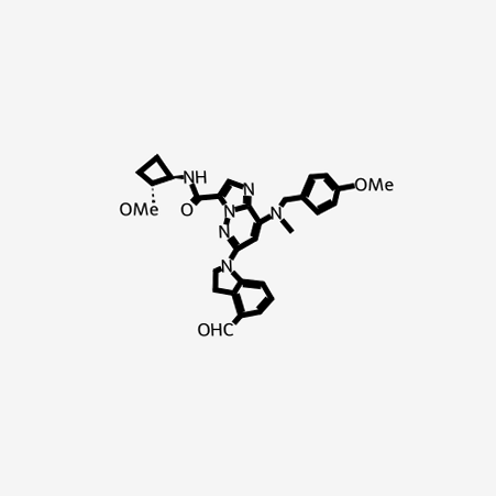 COc1ccc(CN(C)c2cc(N3CCc4c(C=O)cccc43)nn3c(C(=O)N[C@@H]4CC[C@H]4OC)cnc23)cc1